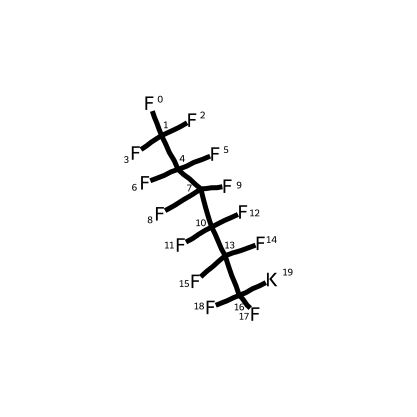 FC(F)(F)C(F)(F)C(F)(F)C(F)(F)C(F)(F)[C](F)(F)[K]